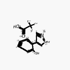 O=C(O)C(F)(F)F.Oc1ccccc1-c1cn[nH]c1